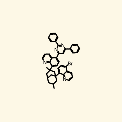 CC1CC2CC(C)(c3ccc(-c4cc(-c5ccccc5)nc(-c5ccccc5)n4)c4cccnc34)CC(c3ccc(Br)c4cccnc34)(C1)C2